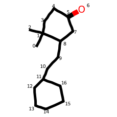 CC1(C)CCC(=O)CC1CCC1CCCCC1